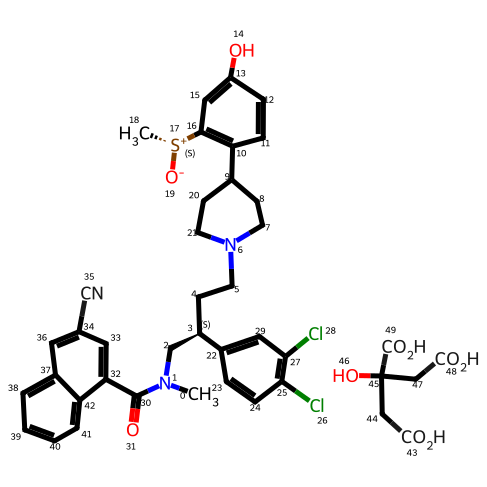 CN(C[C@@H](CCN1CCC(c2ccc(O)cc2[S@@+](C)[O-])CC1)c1ccc(Cl)c(Cl)c1)C(=O)c1cc(C#N)cc2ccccc12.O=C(O)CC(O)(CC(=O)O)C(=O)O